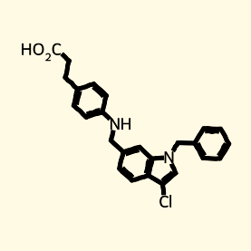 O=C(O)CCc1ccc(NCc2ccc3c(Cl)cn(Cc4ccccc4)c3c2)cc1